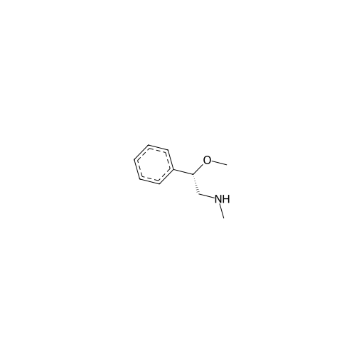 CNC[C@@H](OC)c1ccccc1